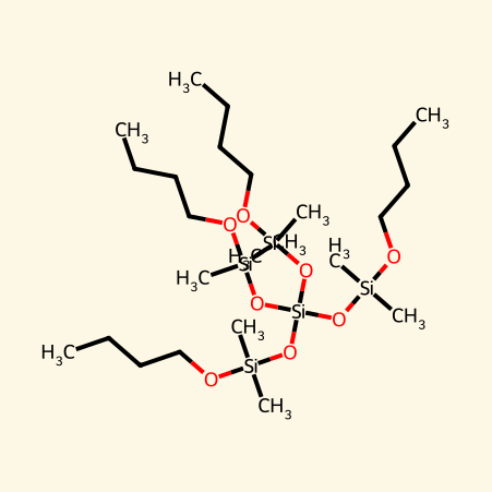 CCCCO[Si](C)(C)O[Si](O[Si](C)(C)OCCCC)(O[Si](C)(C)OCCCC)O[Si](C)(C)OCCCC